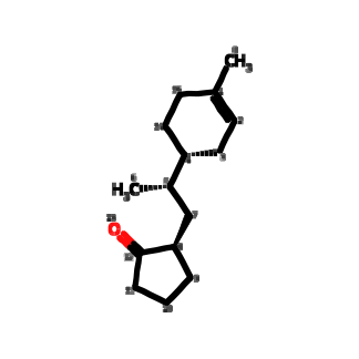 CC1=CC[C@H]([C@@H](C)C[C@H]2CCCC2=O)CC1